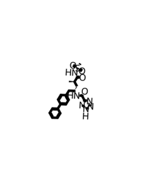 C[C@H](C[C@@H](Cc1ccc(-c2ccccc2)cc1)NC(=O)c1nn[nH]n1)C(=O)NS(C)(=O)=O